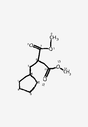 COC(=O)C(CC1CCCC1)C(=O)OC